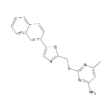 Cc1cc(N)nc(SCc2ncc(-c3ccc4ccccc4c3)o2)n1